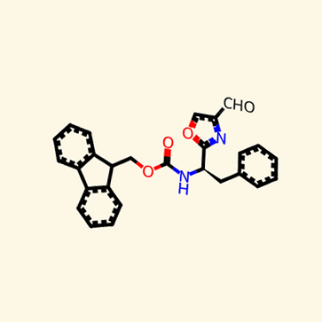 O=Cc1coc([C@@H](Cc2ccccc2)NC(=O)OCC2c3ccccc3-c3ccccc32)n1